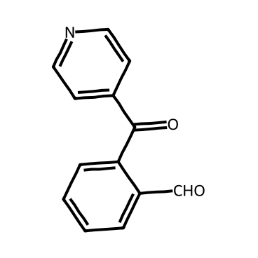 O=Cc1ccccc1C(=O)c1ccncc1